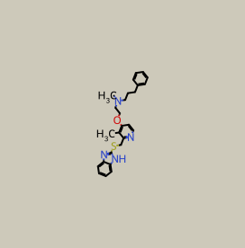 Cc1c(OCCN(C)CCCc2ccccc2)ccnc1CSc1nc2ccccc2[nH]1